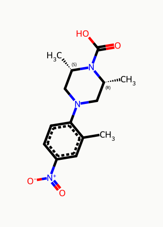 Cc1cc([N+](=O)[O-])ccc1N1C[C@@H](C)N(C(=O)O)[C@@H](C)C1